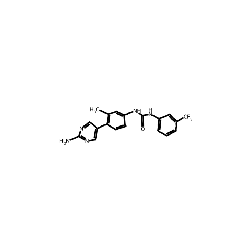 Cc1cc(NC(=O)Nc2cccc(C(F)(F)F)c2)ccc1-c1cnc(N)nc1